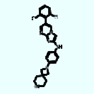 Clc1cccc(Cl)c1-c1cnc2nc(Nc3ccc(N4CC5(CCNCC5)C4)cc3)cn2c1